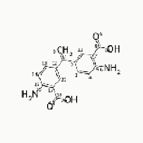 C=C(c1ccc(N)c(C(=O)O)c1)c1ccc(N)c(C(=O)O)c1